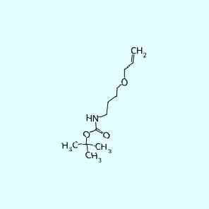 C=CCOCCCCNC(=O)OC(C)(C)C